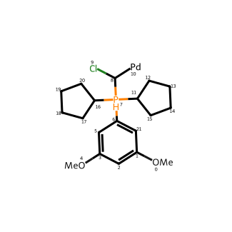 COc1cc(OC)cc([PH]([CH](Cl)[Pd])(C2CCCC2)C2CCCC2)c1